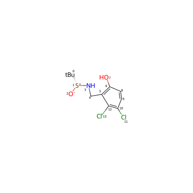 CC(C)(C)[S@@+]([O-])NCc1c(O)ccc(Cl)c1Cl